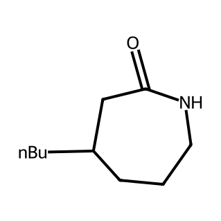 CCCCC1CCCNC(=O)C1